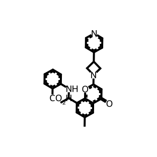 Cc1cc(C(C)Nc2ccccc2C(=O)O)c2oc(N3CC(c4ccncc4)C3)cc(=O)c2c1